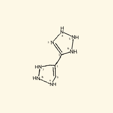 C1=C(C2=NNNN2)NNN1